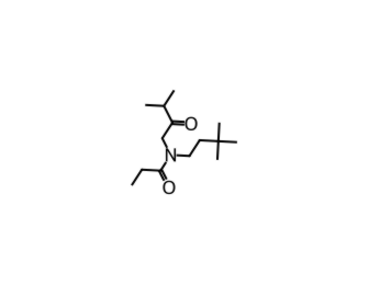 CCC(=O)N(CCC(C)(C)C)CC(=O)C(C)C